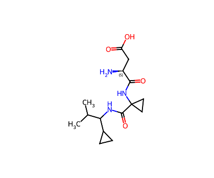 CC(C)C(NC(=O)C1(NC(=O)[C@@H](N)CC(=O)O)CC1)C1CC1